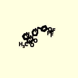 Cn1c(=O)c(=O)n(C2CCN(Cc3ccc(OC(F)(F)F)cc3)CC2)c2ncccc21